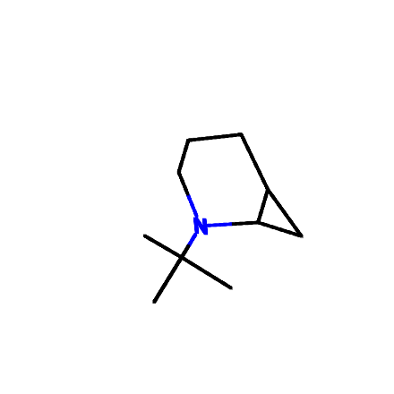 CC(C)(C)N1CCCC2CC21